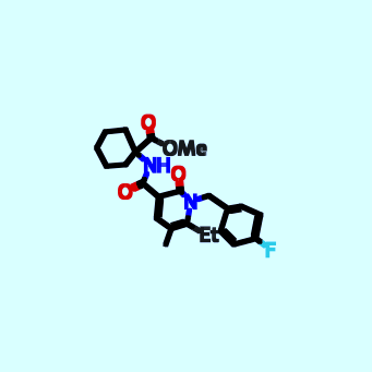 CCc1c(C)cc(C(=O)NC2(C(=O)OC)CCCCC2)c(=O)n1Cc1ccc(F)cc1